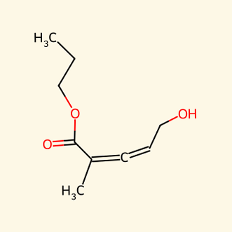 CCCOC(=O)C(C)=C=CCO